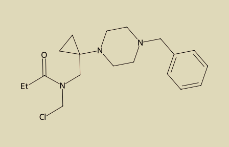 CCC(=O)N(CCl)CC1(N2CCN(Cc3ccccc3)CC2)CC1